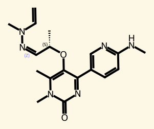 C=CN(C)/N=C\[C@H](C)Oc1c(-c2ccc(NC)nc2)nc(=O)n(C)c1C